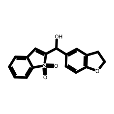 O=S1(=O)C(C(O)c2ccc3c(c2)CCO3)=Cc2ccccc21